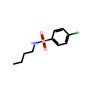 CCCCNS(=O)(=O)c1ccc(Br)cc1